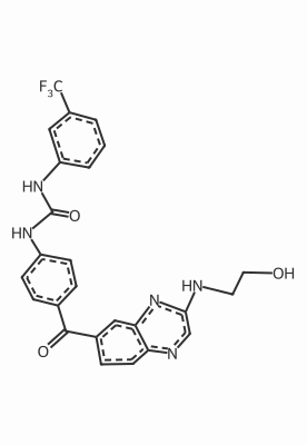 O=C(Nc1ccc(C(=O)c2ccc3ncc(NCCO)nc3c2)cc1)Nc1cccc(C(F)(F)F)c1